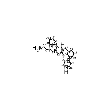 Cc1ccc(CN(CCCCN)CC2Cc3c(cccc3N3CCNCC3)CN2)nc1